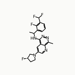 Cc1nnc(NC(C)c2cccc(C(F)F)c2F)c2cc(N3CC[C@@H](F)C3)cnc12